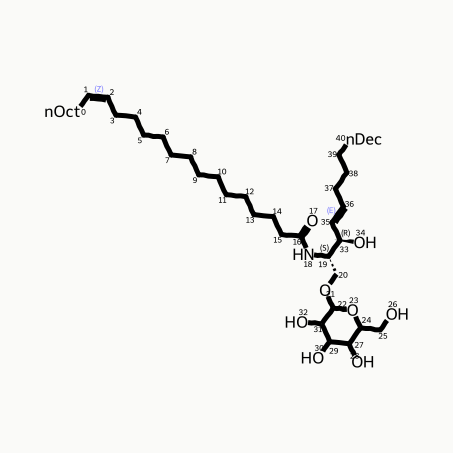 CCCCCCCC/C=C\CCCCCCCCCCCCCC(=O)N[C@@H](COC1OC(CO)C(O)C(O)C1O)[C@H](O)/C=C/CCCCCCCCCCCCC